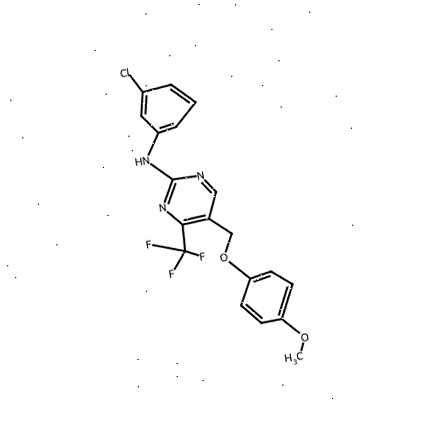 COc1ccc(OCc2cnc(Nc3cccc(Cl)c3)nc2C(F)(F)F)cc1